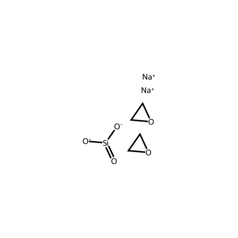 C1CO1.C1CO1.O=[Si]([O-])[O-].[Na+].[Na+]